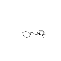 Cc1nccn1CCN1CCCCC1